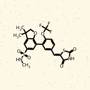 CNS(=O)(=O)c1cc(-c2cc(/C=C3\SC(=O)NC3=O)ccc2OC(F)(F)F)c2c(c1)C(C)(C)CO2